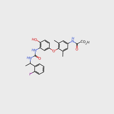 Cc1cc(NC(=O)C(=O)O)cc(C)c1Oc1ccc(O)c(NC(=O)NC(C)c2ccccc2I)c1